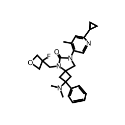 Cc1cc(C2CC2)ncc1N1CC2(CC(c3ccccc3)(N(C)C)C2)N(CC2(F)COC2)C1=O